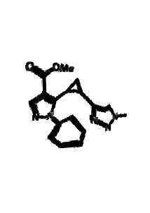 COC(=O)c1cnn(-c2ccccc2)c1C1CC1c1cn(C)nn1